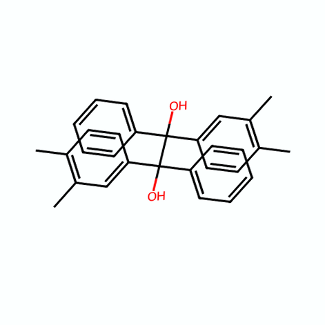 Cc1ccc(C(O)(c2ccccc2)C(O)(c2ccccc2)c2ccc(C)c(C)c2)cc1C